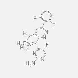 CC1(C)[C@H]2CC[C@]1(c1nc(N)ncc1F)c1nnc(-c3c(F)cccc3F)cc12